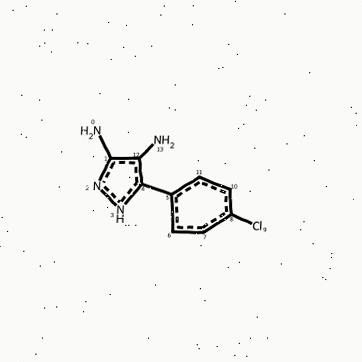 Nc1n[nH]c(-c2ccc(Cl)cc2)c1N